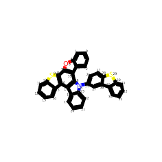 c1ccc2c(c1)oc1c3sc4ccccc4c3c3c4ccccc4n(-c4ccc5sc6ccccc6c5c4)c3c21